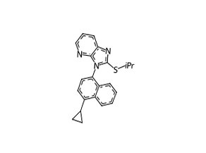 CC(C)Sc1nc2cccnc2n1-c1ccc(C2CC2)c2ccccc12